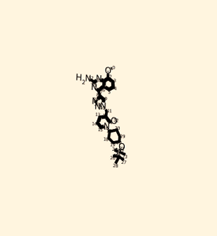 COc1cccc2c(-c3cn(Cc4cccn(C5CCC(O[Si](C)(C)C(C)(C)C)CC5)c4=O)nn3)nc(N)nc12